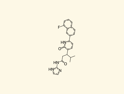 CC(C)C(CC(=O)Nc1ncc[nH]1)c1ccc(-c2ccc3cccc(F)c3c2)[nH]c1=O